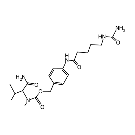 CC(C)C(C(N)=O)N(C)C(=O)OCc1ccc(NC(=O)CCCCNC(N)=O)cc1